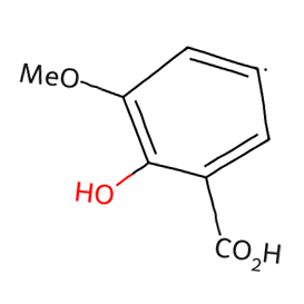 COc1c[c]cc(C(=O)O)c1O